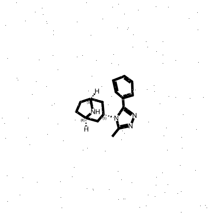 Cc1nnc(-c2ccccc2)n1[C@@H]1C[C@H]2CC[C@@H](C1)N2